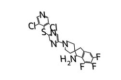 N[C@@H]1c2c(cc(F)c(F)c2F)CC12CCN(c1cnc(Sc3c(Cl)cncc3Cl)cn1)CC2